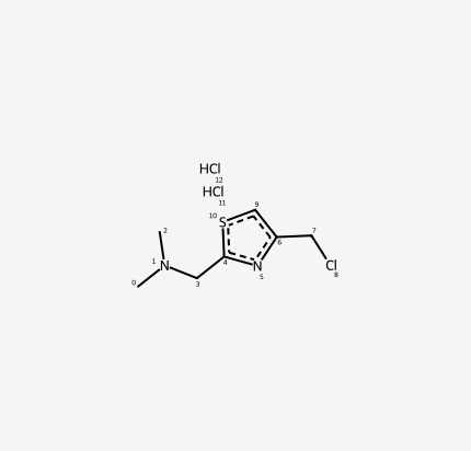 CN(C)Cc1nc(CCl)cs1.Cl.Cl